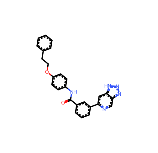 O=C(Nc1ccc(OCCc2ccccc2)cc1)c1cccc(-c2cc3[nH]nnc3cn2)c1